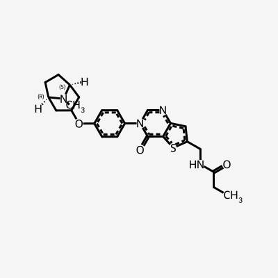 CCC(=O)NCc1cc2ncn(-c3ccc(OC4C[C@H]5CC[C@@H](C4)N5C)cc3)c(=O)c2s1